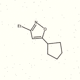 [CH2]Cc1cc(C2CCCC2)on1